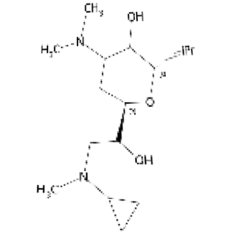 CC(C)[C@@H]1O[C@@H](C(O)CN(C)C2CC2)CC(N(C)C)C1O